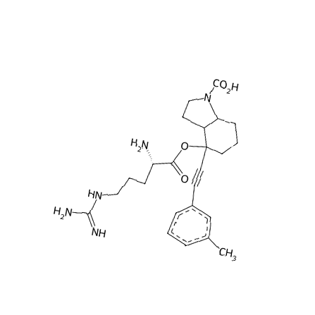 Cc1cccc(C#CC2(OC(=O)[C@@H](N)CCCNC(=N)N)CCCC3C2CCN3C(=O)O)c1